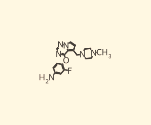 CN1CCN(Cc2ccn3ncnc(Oc4ccc(N)cc4F)c23)CC1